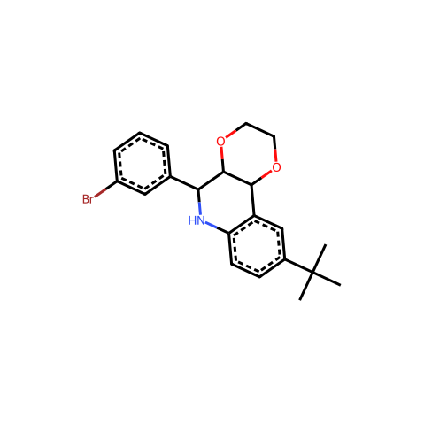 CC(C)(C)c1ccc2c(c1)C1OCCOC1C(c1cccc(Br)c1)N2